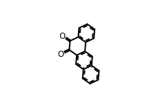 O=C1C(=O)c2cc3ccccc3cc2-c2ccccc21